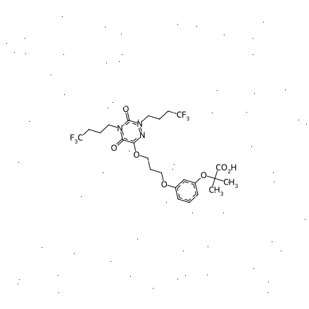 CC(C)(Oc1cccc(OCCCOc2nn(CCCC(F)(F)F)c(=O)n(CCCC(F)(F)F)c2=O)c1)C(=O)O